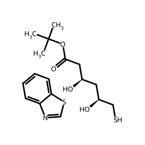 CC(C)(C)OC(=O)C[C@H](O)C[C@H](O)CS.c1ccc2scnc2c1